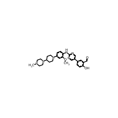 COc1cc(N2CCC(N3CCN(C)CC3)CC2)ccc1Nc1ncc(-c2ccc(O)c(C=O)c2)cn1